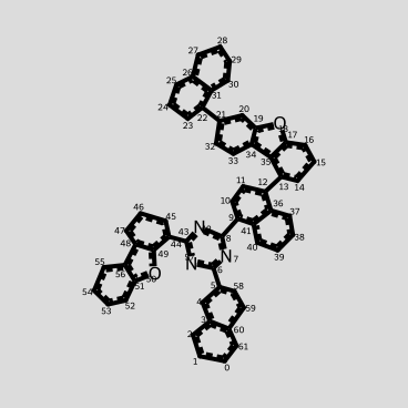 c1ccc2cc(-c3nc(-c4ccc(-c5cccc6oc7cc(-c8cccc9ccccc89)ccc7c56)c5ccccc45)nc(-c4cccc5c4oc4ccccc45)n3)ccc2c1